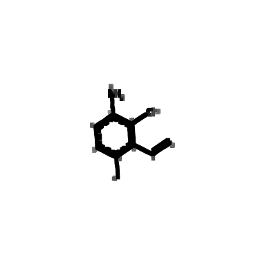 C=Cc1c(C)ccc(N)c1Cl